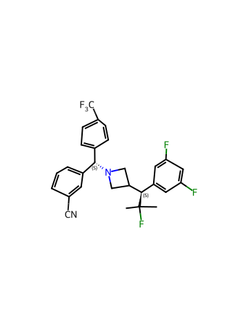 CC(C)(F)[C@H](c1cc(F)cc(F)c1)C1CN([C@@H](c2ccc(C(F)(F)F)cc2)c2cccc(C#N)c2)C1